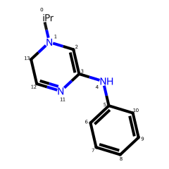 CC(C)N1C=C(Nc2ccccc2)N=CC1